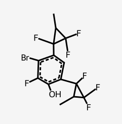 CC1C(F)(F)C1(F)c1cc(C2(F)C(C)C2(F)F)c(Br)c(F)c1O